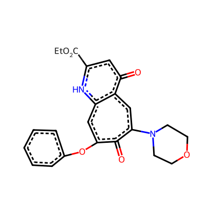 CCOC(=O)c1cc(=O)c2cc(N3CCOCC3)c(=O)c(Oc3ccccc3)cc2[nH]1